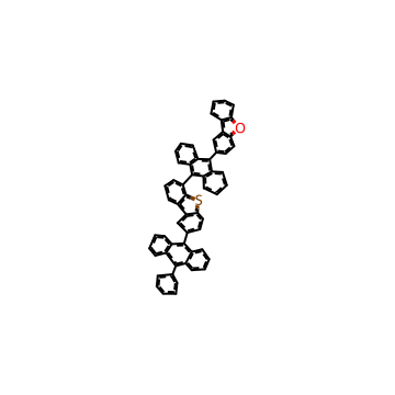 c1ccc(-c2c3ccccc3c(-c3ccc4sc5c(-c6c7ccccc7c(-c7ccc8oc9ccccc9c8c7)c7ccccc67)cccc5c4c3)c3ccccc23)cc1